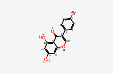 O=c1c(-c2ccc(Br)cc2)coc2cc(O)cc(O)c12